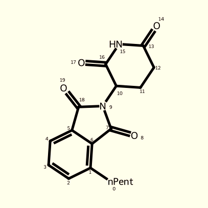 [CH2]CCCCc1cccc2c1C(=O)N(C1CCC(=O)NC1=O)C2=O